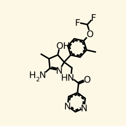 Cc1cc(C2(CNC(=O)c3cncnc3)N=C(N)C(C)C2O)ccc1OC(F)F